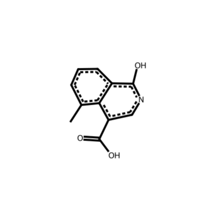 Cc1cccc2c(O)ncc(C(=O)O)c12